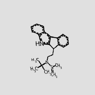 C[SiH](C)N(CCC1c2ccccc2-c2c1[nH]c1ccccc21)C(C)(C)C